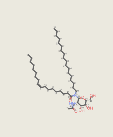 CCCCCCCC/C=C\CCCCCCCC(=O)N(CCCCCCCCCCCCCCCCCC)C1O[C@H](CO)[C@@H](O)[C@H](O)[C@H]1NC(C)=O